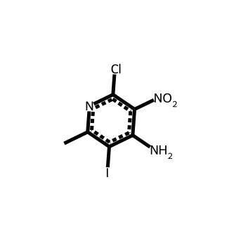 Cc1nc(Cl)c([N+](=O)[O-])c(N)c1I